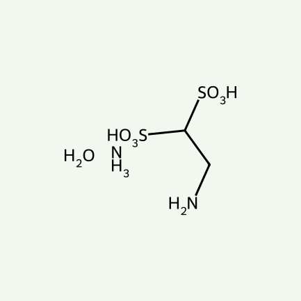 N.NCC(S(=O)(=O)O)S(=O)(=O)O.O